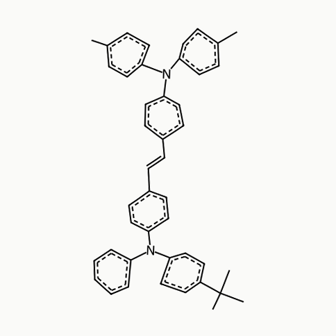 Cc1ccc(N(c2ccc(C)cc2)c2ccc(/C=C/c3ccc(N(c4ccccc4)c4ccc(C(C)(C)C)cc4)cc3)cc2)cc1